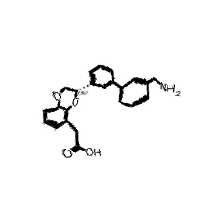 NCc1cccc(-c2cccc([C@H]3COc4cccc(CC(=O)O)c4O3)c2)c1